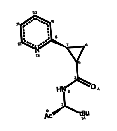 CC(=O)[C@@H](NC(=O)C1C[C@@H]1c1ccccn1)C(C)(C)C